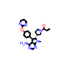 C=CC(=O)N1CC[C@@H](c2c(-c3ccc(Oc4ncccn4)cc3)c3c(N)ncnc3n2C)C1